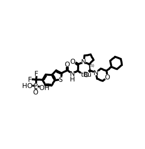 CC(C)(C)C(NC(=O)c1cc2cc(C(F)(F)P(=O)(O)O)ccc2s1)C(=O)N1CCC[C@H]1C(=O)N1CCOC(C2CCCCC2)C1